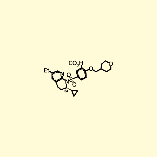 CCc1cnc2c(c1)CC[C@@H](C1CC1)N2S(=O)(=O)c1ccc(OCC2CCOCC2)c(C(=O)O)c1